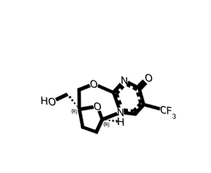 O=c1nc2n(cc1C(F)(F)F)[C@H]1CC[C@@](CO)(CO2)O1